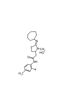 Cc1ccc(NC(=O)CC2CSC(=NC3CCCCCC3)N2C)c(F)c1.Cl